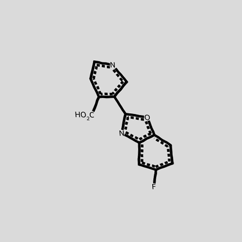 O=C(O)c1ccncc1-c1nc2cc(F)ccc2o1